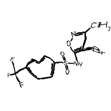 Cc1noc(NS(=O)(=O)c2ccc(C(F)(F)F)cc2)c1Br